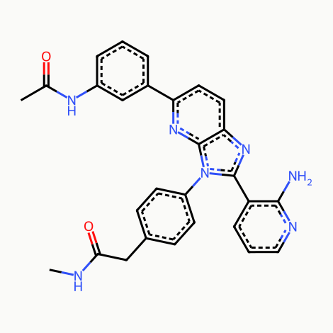 CNC(=O)Cc1ccc(-n2c(-c3cccnc3N)nc3ccc(-c4cccc(NC(C)=O)c4)nc32)cc1